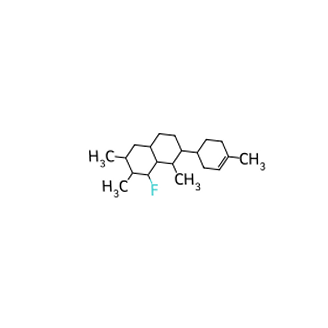 CC1=CCC(C2CCC3CC(C)C(C)C(F)C3C2C)CC1